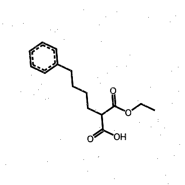 CCOC(=O)C(CCCCc1ccccc1)C(=O)O